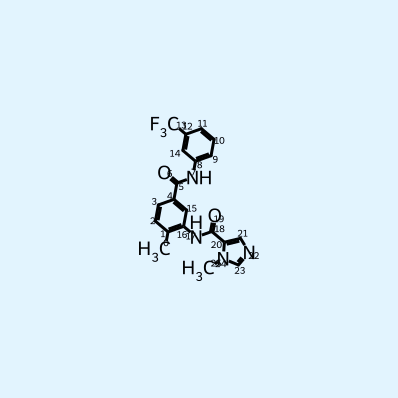 Cc1ccc(C(=O)Nc2cccc(C(F)(F)F)c2)cc1NC(=O)c1cncn1C